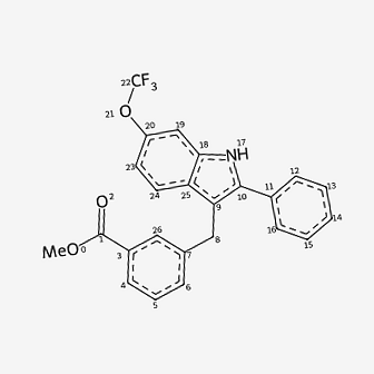 COC(=O)c1cccc(Cc2c(-c3ccccc3)[nH]c3cc(OC(F)(F)F)ccc23)c1